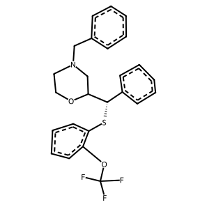 FC(F)(F)Oc1ccccc1S[C@@H](c1ccccc1)C1CN(Cc2ccccc2)CCO1